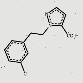 O=C(O)c1ccnn1CCc1cccc(Cl)c1